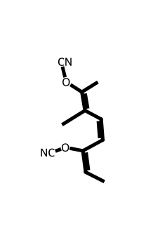 C\C=C(/C=C\C(C)=C(/C)OC#N)OC#N